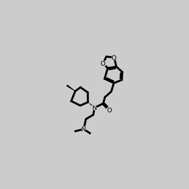 CN(C)CCN(C(=O)CCc1ccc2c(c1)OCO2)[C@H]1CC[C@H](C)CC1